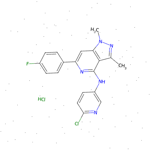 Cc1nn(C)c2cc(-c3ccc(F)cc3)nc(Nc3ccc(Cl)nc3)c12.Cl